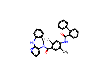 Cc1cc(C(=O)N2Cc3ccccc3Nc3ncccc32)c(C)cc1NC(=O)c1ccccc1-c1ccccc1